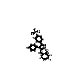 CS(=O)(=O)c1ccc(-c2nn3c(c2-c2ccc(F)cc2)C=C2CC=CC=C2O3)cc1